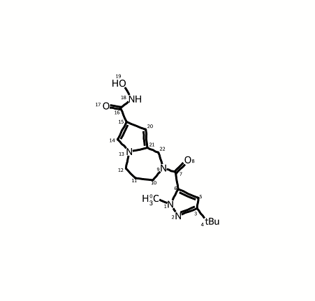 Cn1nc(C(C)(C)C)cc1C(=O)N1CCCn2cc(C(=O)NO)cc2C1